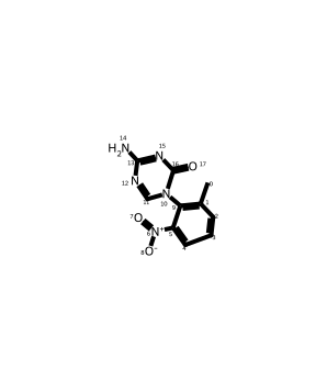 Cc1cccc([N+](=O)[O-])c1-n1cnc(N)nc1=O